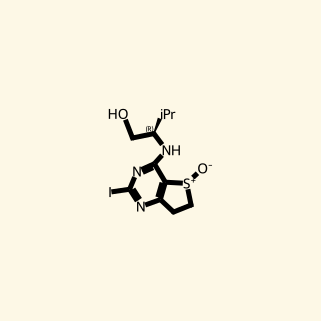 CC(C)[C@H](CO)Nc1nc(I)nc2c1[S+]([O-])CC2